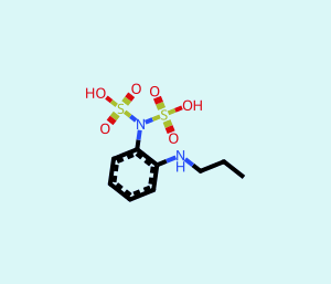 CCCNc1ccccc1N(S(=O)(=O)O)S(=O)(=O)O